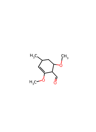 COC1=CC(C)CC(OC)C1C=O